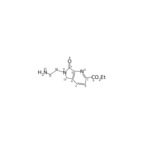 CCOC(=O)c1ccc2c(n1)C(=O)N(CCN)C2